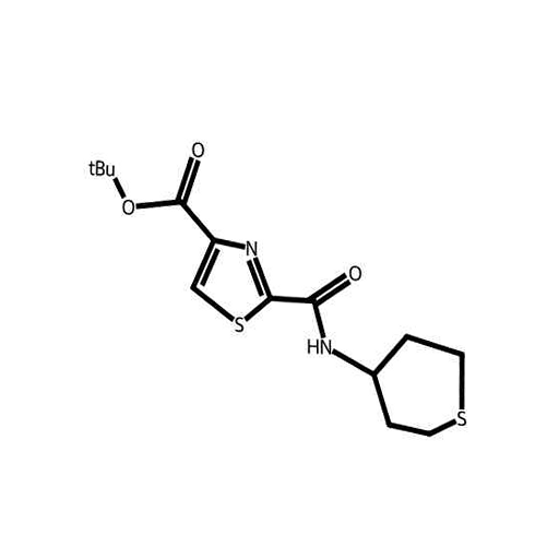 CC(C)(C)OC(=O)c1csc(C(=O)NC2CCSCC2)n1